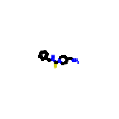 NCC1CCN(C(=S)NCc2ccccc2)CC1